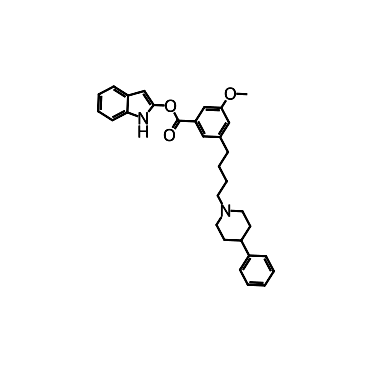 COc1cc(CCCCN2CCC(c3ccccc3)CC2)cc(C(=O)Oc2cc3ccccc3[nH]2)c1